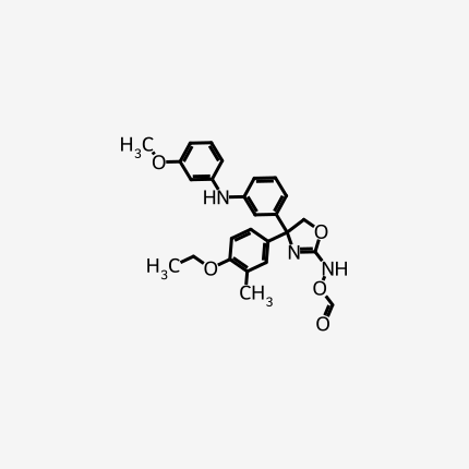 CCOc1ccc(C2(c3cccc(Nc4cccc(OC)c4)c3)COC(NOC=O)=N2)cc1C